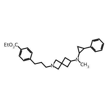 CCOC(=O)c1ccc(CCCN2CC3(CC(N(C)C4CC4c4ccccc4)C3)C2)cc1